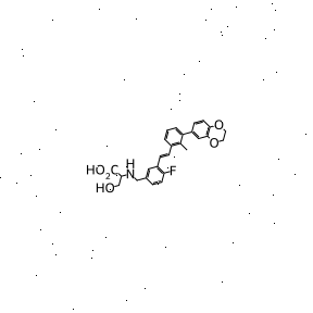 Cc1c(C=Cc2cc(CNC(CO)C(=O)O)ccc2F)cccc1-c1ccc2c(c1)OCCO2